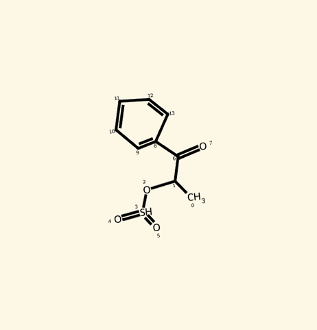 CC(O[SH](=O)=O)C(=O)c1ccccc1